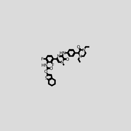 CCN1CCN(CC)C(c2ccc(Nc3nc(-c4ccc(F)c(NC(=O)Oc5cc6c(s5)CCCC6)c4F)cn(C)c3=O)cc2)C1=O